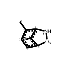 Cc1ccc2c(C)c1NO2